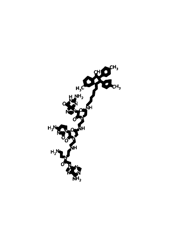 Cc1ccc(C(C)C(c2ccc(C)cc2)C(CCCCCCCNC(=O)CN(CCNC(=O)CN(CCNCCN(CCN)C(=O)Cn2cnc3c(N)ncnc32)C(=O)Cn2ccc(N)nc2=O)C(=O)Cn2cnc3c(=O)[nH]c(N)nc32)c2ccc(C)cc2)cc1